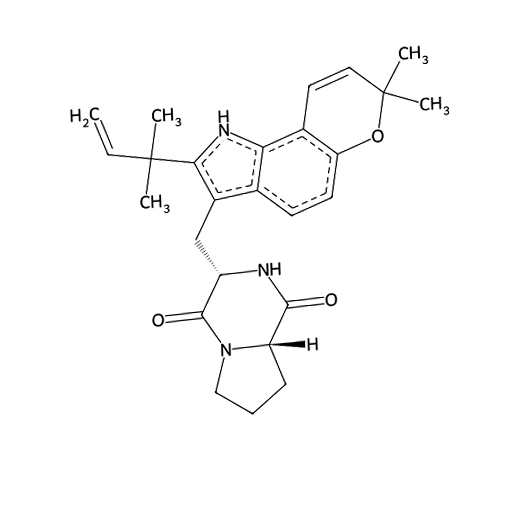 C=CC(C)(C)c1[nH]c2c3c(ccc2c1C[C@@H]1NC(=O)[C@@H]2CCCN2C1=O)OC(C)(C)C=C3